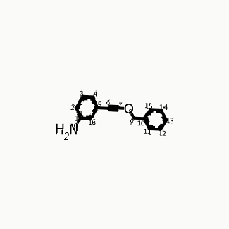 Nc1cccc(C#COCc2ccccc2)c1